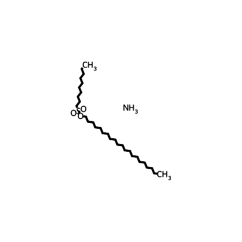 CCCCCCCCCCCCCCCCCCCCCOS(=O)(=O)CCCCCCCCCC.N